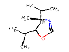 CC(C)C1OC=N[C@@]1(C)C(C)C